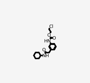 O=C(Cc1cccc(NC(=O)OCCCl)c1)NC1CCCCC1